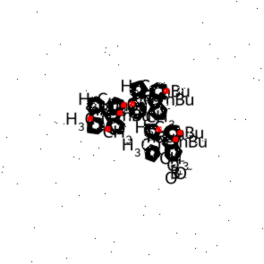 CCCCC(CCCC)(CCCC)c1ccccc1[N+](c1ccccc1C)(c1ccccc1C)c1ccccc1C.CCCCC(CCCC)(CCCC)c1ccccc1[N+](c1ccccc1C)(c1ccccc1C)c1ccccc1C.CCCCC(CCCC)(CCCC)c1ccccc1[N+](c1ccccc1C)(c1ccccc1C)c1ccccc1C.[O-]B([O-])[O-]